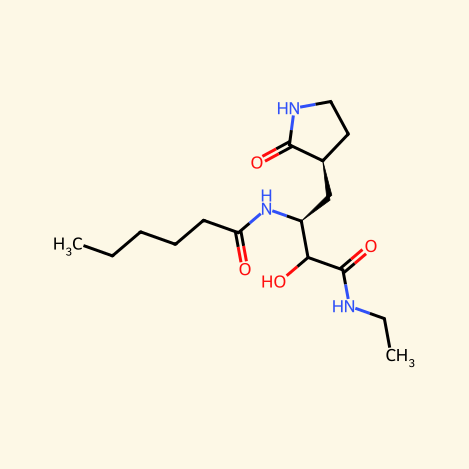 CCCCCC(=O)N[C@@H](C[C@@H]1CCNC1=O)C(O)C(=O)NCC